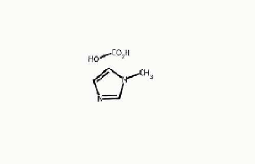 Cn1ccnc1.O=C(O)O